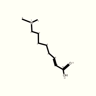 CN(C)CCCCC/C=C/C(=O)O